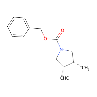 C[C@H]1CN(C(=O)OCc2ccccc2)C[C@H]1C=O